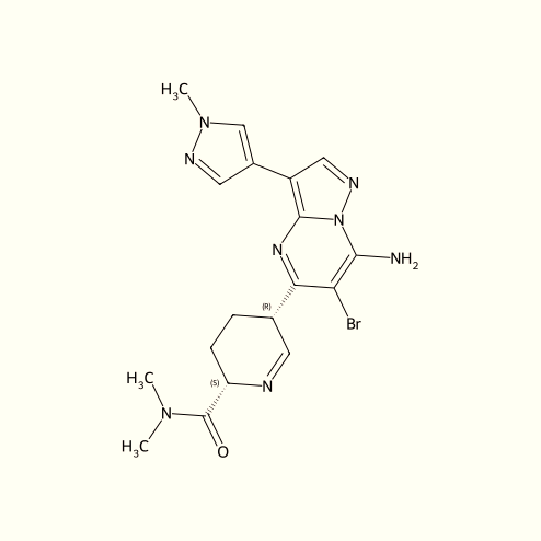 CN(C)C(=O)[C@@H]1CC[C@H](c2nc3c(-c4cnn(C)c4)cnn3c(N)c2Br)C=N1